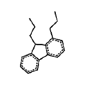 CCCc1cccc2c1C(CCC)c1ccccc1-2